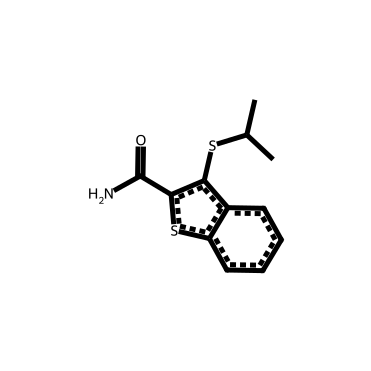 CC(C)Sc1c(C(N)=O)sc2ccccc12